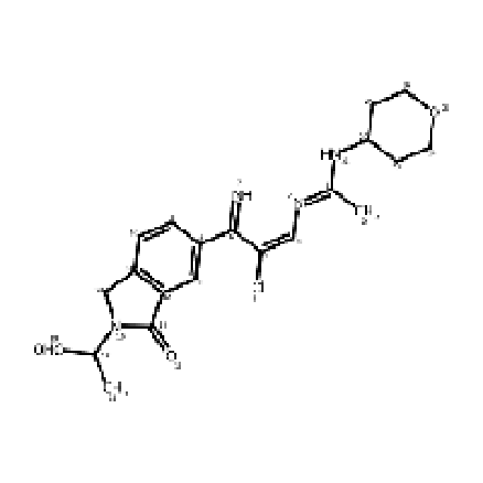 C/C(=N\C=C(\Cl)C(=N)c1ccc2c(c1)C(=O)N(C(C)C=O)C2)NC1CCOCC1